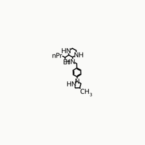 CCCC(CC)C1NCCNC1NCc1ccc(N2CC(C)CN2)cc1